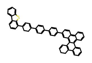 C1=Cc2c(c3ccccc3c3c4ccccc4c4ccc(-c5ccc(-c6ccc(C7=CC=C(c8cccc9c8sc8ccccc89)CC7)cc6)cc5)cc4c23)CC1